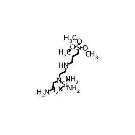 CO[Si](CCCNCCN(CCN)[Si](N)(N)N)(OC)OC